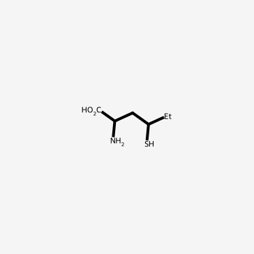 CCC(S)CC(N)C(=O)O